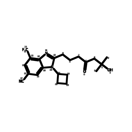 CC(C)(O)CC(=O)CCCc1nc2c(C(F)(F)F)cc(C#N)cc2n1C1CCC1